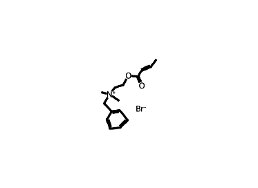 CC=CC(=O)OCC[N+](C)(C)Cc1ccccc1.[Br-]